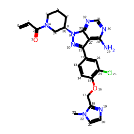 C=CC(=O)N1CCC[C@@H](n2nc(-c3ccc(OCc4nccn4C)c(Cl)c3)c3c(N)ncnc32)C1